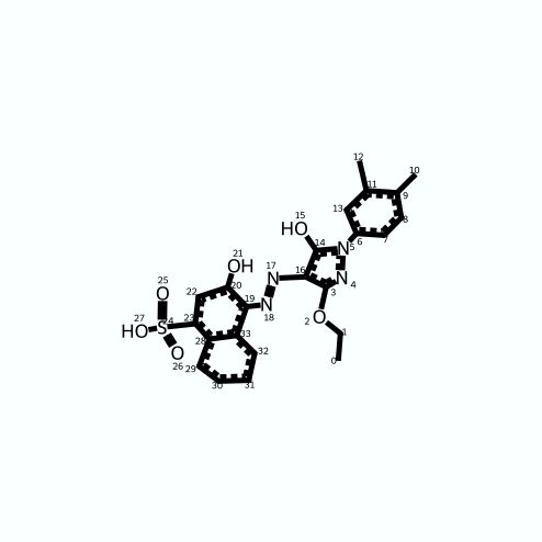 CCOc1nn(-c2ccc(C)c(C)c2)c(O)c1N=Nc1c(O)cc(S(=O)(=O)O)c2ccccc12